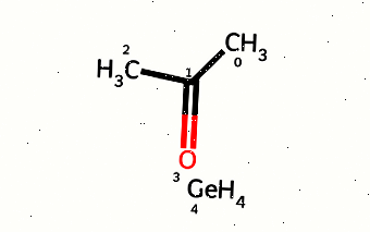 CC(C)=O.[GeH4]